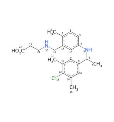 Cc1ccc(NC(C)c2cc(C)c(Cl)c(C)c2)cc1CNCCC(=O)O